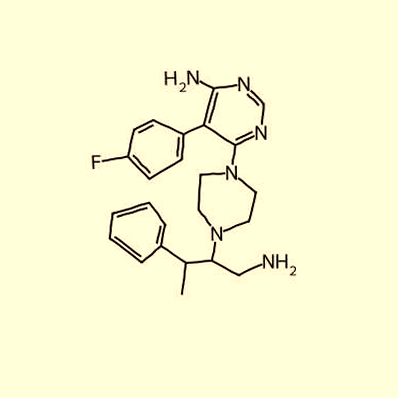 CC(c1ccccc1)C(CN)N1CCN(c2ncnc(N)c2-c2ccc(F)cc2)CC1